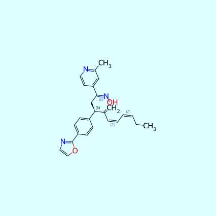 C=C(/C=C\C=C/CC)[C@H](C/C(=N\O)c1ccnc(C)c1)c1ccc(-c2ncco2)cc1